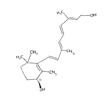 CC(C=CC1=C(C)[C@@H](O)CCC1(C)C)=CC=CC(C)=CCO